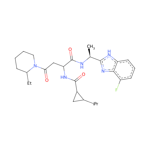 CCC1CCCCN1C(=O)CC(NC(=O)C1CC1C(C)C)C(=O)N[C@@H](C)c1nc2c(F)cccc2[nH]1